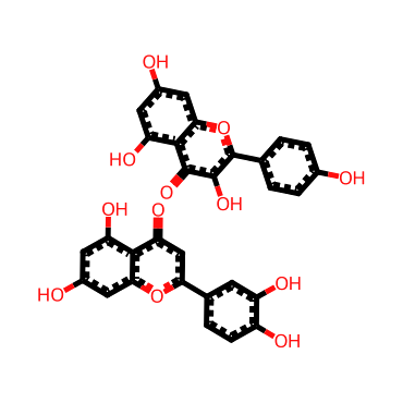 O=c1c(O)c(-c2ccc(O)cc2)oc2cc(O)cc(O)c12.O=c1cc(-c2ccc(O)c(O)c2)oc2cc(O)cc(O)c12